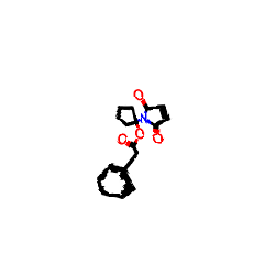 O=C(Cc1ccccc1)OC1(N2C(=O)C=CC2=O)CCCC1